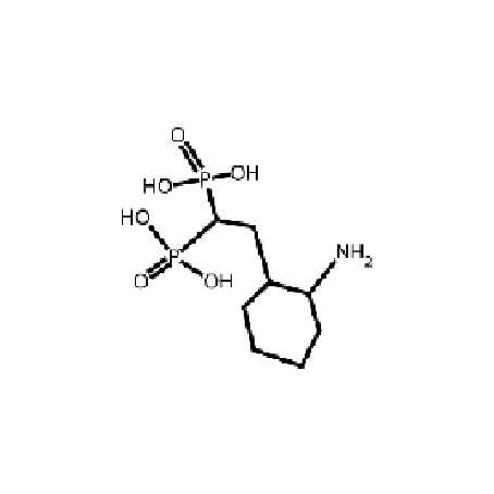 NC1CCCCC1CC(P(=O)(O)O)P(=O)(O)O